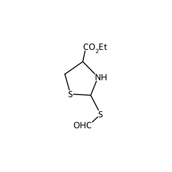 CCOC(=O)C1CSC(SC=O)N1